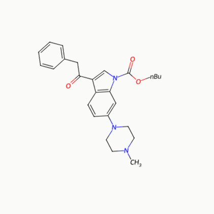 CCCCOC(=O)n1cc(C(=O)Cc2ccccc2)c2ccc(N3CCN(C)CC3)cc21